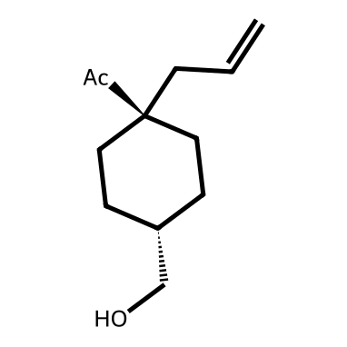 C=CC[C@]1(C(C)=O)CC[C@H](CO)CC1